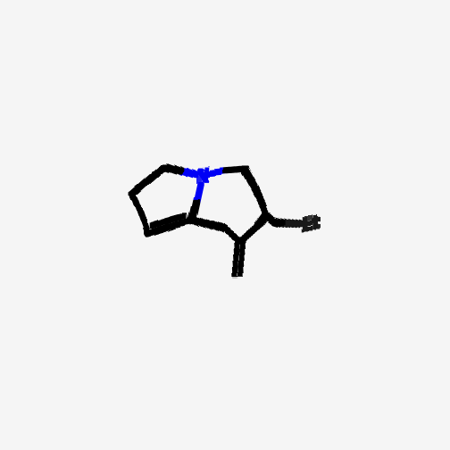 C=C1C2=CCCN2CC1CC